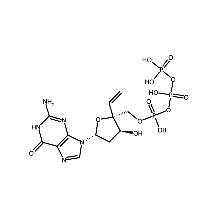 C=C[C@]1(COP(=O)(O)OP(=O)(O)OP(=O)(O)O)O[C@@H](n2cnc3c(=O)[nH]c(N)nc32)C[C@@H]1O